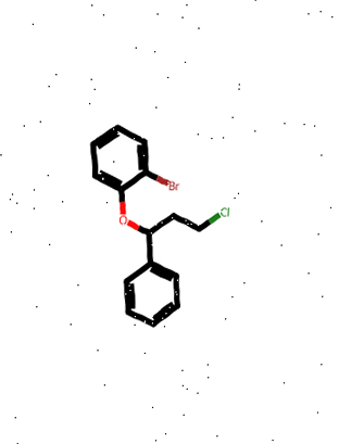 ClCCC(Oc1ccccc1Br)c1ccccc1